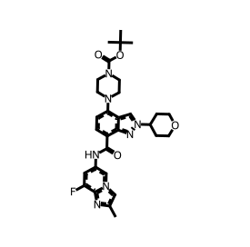 Cc1cn2cc(NC(=O)c3ccc(N4CCN(C(=O)OC(C)(C)C)CC4)c4cn(C5CCOCC5)nc34)cc(F)c2n1